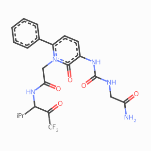 CC(C)C(NC(=O)Cn1c(-c2ccccc2)ccc(NC(=O)NCC(N)=O)c1=O)C(=O)C(F)(F)F